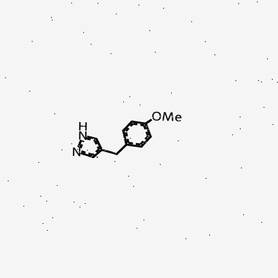 COc1ccc(Cc2[c]n[nH]c2)cc1